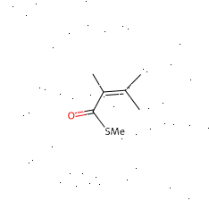 CSC(=O)C(C)=C(C)C